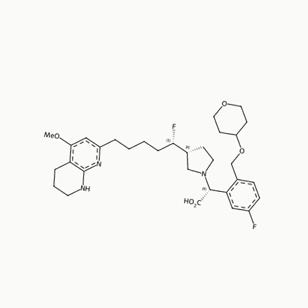 COc1cc(CCCC[C@H](F)[C@@H]2CCN([C@@H](C(=O)O)c3cc(F)ccc3COC3CCOCC3)C2)nc2c1CCCN2